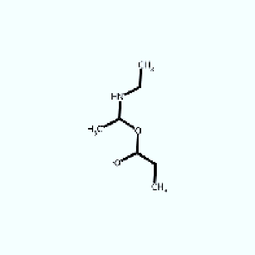 CCNC(C)OC([O])CC